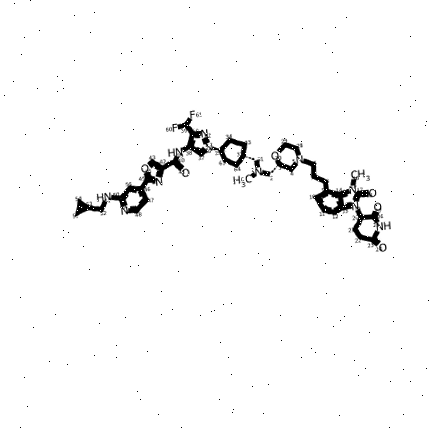 CN(C[C@H]1CN(CCCc2cccc3c2n(C)c(=O)n3C2CCC(=O)NC2=O)CCO1)C[C@H]1CC[C@H](n2cc(NC(=O)c3coc(-c4ccnc(NCC5CC5)c4)n3)c(C(F)F)n2)CC1